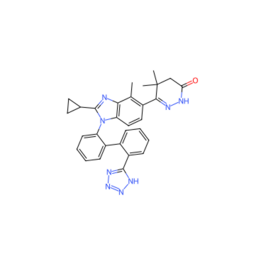 Cc1c(C2=NNC(=O)CC2(C)C)ccc2c1nc(C1CC1)n2-c1ccccc1-c1ccccc1-c1nnn[nH]1